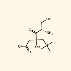 C[N+](C)(C)CC(O)(CC(=O)[O-])C(=O)[C@@H](N)CO